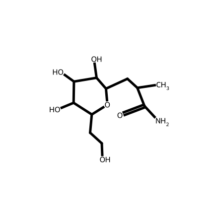 CC(CC1OC(CCO)C(O)C(O)C1O)C(N)=O